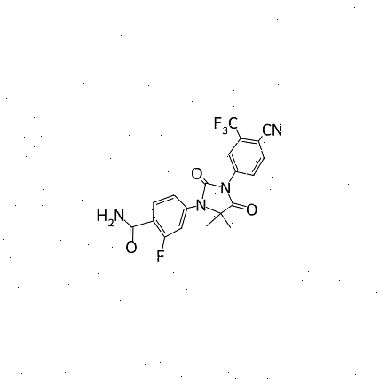 CC1(C)C(=O)N(c2ccc(C#N)c(C(F)(F)F)c2)C(=O)N1c1ccc(C(N)=O)c(F)c1